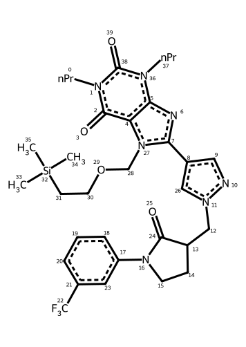 CCCn1c(=O)c2c(nc(-c3cnn(CC4CCN(c5cccc(C(F)(F)F)c5)C4=O)c3)n2COCC[Si](C)(C)C)n(CCC)c1=O